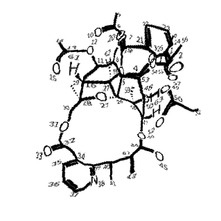 CC(=O)OC[C@]12[C@H](OC(C)=O)[C@H](OC(C)=O)[C@@H]3[C@@H](OC(=O)c4ccco4)[C@@]14O[C@@]3(C)COC(=O)c1cccnc1C(C)C(C)C(=O)O[C@@H]([C@H](OC(C)=O)[C@@H]2OC(C)=O)[C@]4(C)O